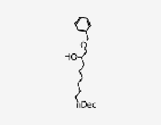 CCCCCCCCCCCCCCCCC(O)COCc1ccccc1